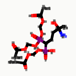 CCCCCC(=O)OCOP(=O)(O)C(CCC(C)(N)O)P(=O)(OCOC(=O)CCCCC)OCOC(=O)CCCCC